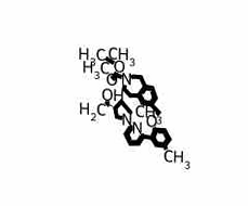 C=C(O)[C@@H]1CCN(c2cccc(-c3cc(C)ccc3OCc3ccc4c(c3C)CCN(C(=O)OC(C)(C)C)CC4)n2)C1